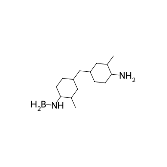 BNC1CCC(CC2CCC(N)C(C)C2)CC1C